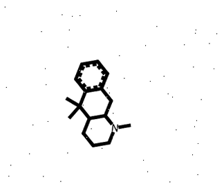 CN1CCCC2C1Cc1ccccc1C2(C)C